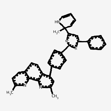 Cc1ccc2ccc3c(-c4ccc(-c5nc(-c6ccccc6)cc(C6(C)C=CC=CN6)n5)cc4)cc(C)nc3c2n1